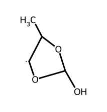 CC1[CH]OC(O)O1